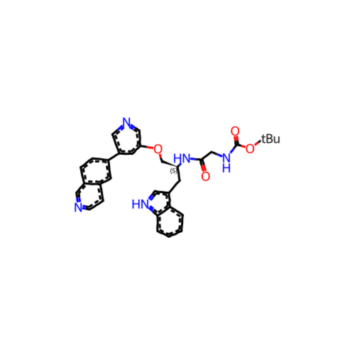 CC(C)(C)OC(=O)NCC(=O)N[C@H](COc1cncc(-c2ccc3cnccc3c2)c1)Cc1c[nH]c2ccccc12